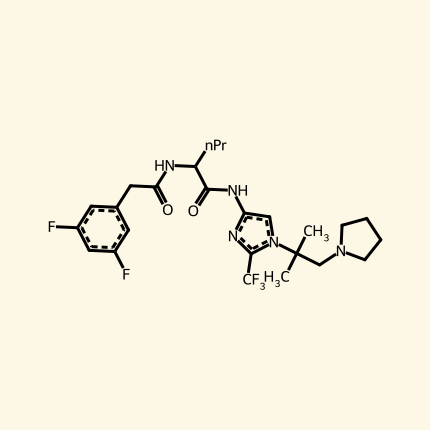 CCCC(NC(=O)Cc1cc(F)cc(F)c1)C(=O)Nc1cn(C(C)(C)CN2CCCC2)c(C(F)(F)F)n1